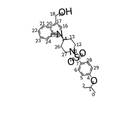 CC(C)Oc1ccc(S(=O)(=O)N2CCC(n3cc(CO)c4ccccc43)CC2)cc1